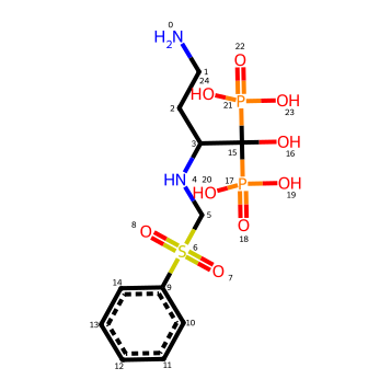 NCCC(NCS(=O)(=O)c1ccccc1)C(O)(P(=O)(O)O)P(=O)(O)O